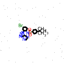 CC(C)(C)c1ccc(S(=O)(=O)Nc2ccc(Br)cc2-n2nnc3ncccc32)cc1